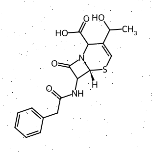 CC(O)C1=CS[C@@H]2C(NC(=O)Cc3ccccc3)C(=O)N2C1C(=O)O